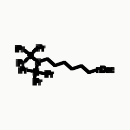 CCCCCCCCCCCCCCCCN([Si](C(C)C)(C(C)C)C(C)C)[Si](C(C)C)(C(C)C)C(C)C